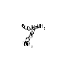 CS(=O)(=O)c1ccc(COc2ccc(N(CCCN)C(=N)N3CCC(Cc4ccccc4)CC3)cc2)cc1